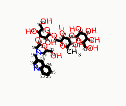 CC1OC(COC2OC(CO)C(O)C(OC3CN(Cc4cnc5ccccc5c4)CC(CO)O3)C2O)C(O)C(OC2OC(CO)C(O)C(O)C2O)C1O